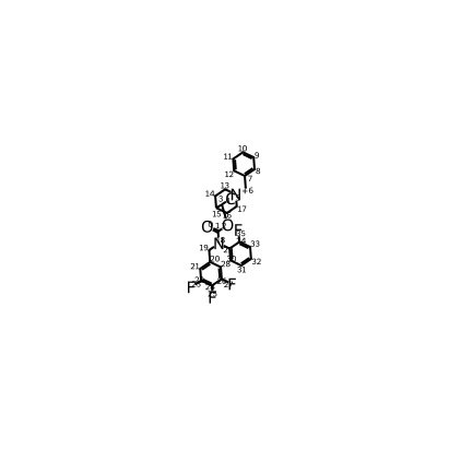 O=C(OC1C[N+]2(Cc3ccccc3)CCC1CC2)N(Cc1cc(F)c(F)c(F)c1)c1ccccc1F